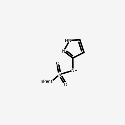 CCCCCS(=O)(=O)Nc1cc[nH]n1